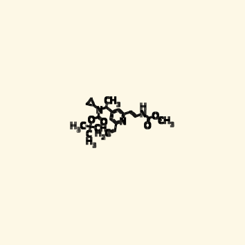 C=Cc1cc(C(C)N(C(=O)OC(C)(C)C)C2CC2)cc(/C=C/NC(=O)OC)n1